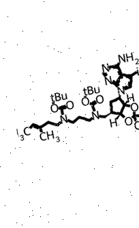 C/C=C(\C)CCN(CCCN(C[C@H]1C[C@@H](n2cc(C(C)CC)c3c(N)ncnc32)[C@@H]2OC(C)(C)O[C@H]12)C(=O)OC(C)(C)C)C(=O)OC(C)(C)C